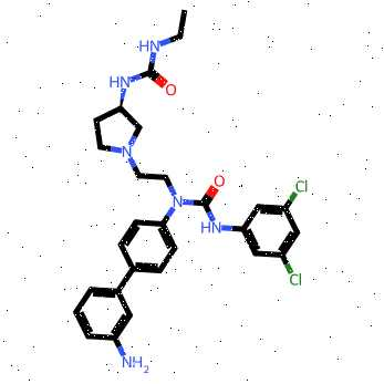 CCNC(=O)N[C@@H]1CCN(CCN(C(=O)Nc2cc(Cl)cc(Cl)c2)c2ccc(-c3cccc(N)c3)cc2)C1